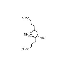 CCCCCCCCCCCCCC(=O)CC(C(=O)CCCCCCCCCCCCC)C(C)(C)C.N